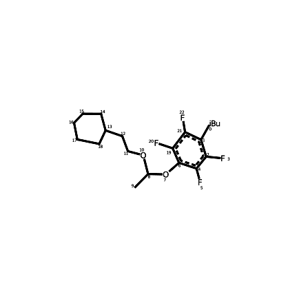 CCC(C)c1c(F)c(F)c(OC(C)OCCC2CCCCC2)c(F)c1F